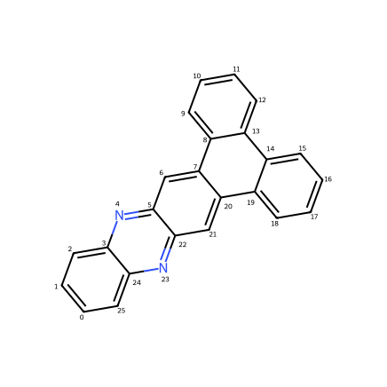 c1ccc2nc3cc4c5ccccc5c5ccccc5c4cc3nc2c1